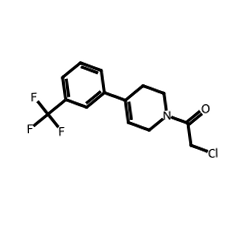 O=C(CCl)N1CC=C(c2cccc(C(F)(F)F)c2)CC1